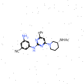 CCCc1cc(N2CCC[C@@H](NC(C)=O)C2)nc(Nc2cc(N)cc(C#N)c2)n1